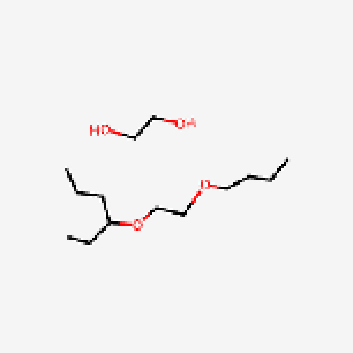 CCCCOCCOC(CC)CCC.OCCO